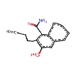 CCCCCCCCCCCCc1c(O)cc2ccccc2c1C(N)=O